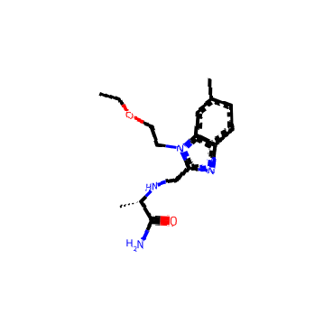 CCOCCn1c(CN[C@@H](C)C(N)=O)nc2ccc(C)cc21